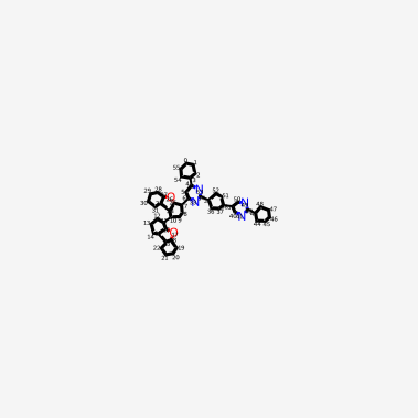 c1ccc(-c2cc(-c3ccc(-c4cccc5c4oc4ccccc45)c4c3oc3ccccc34)nc(-c3ccc(-c4cnc(-c5ccccc5)nc4)cc3)n2)cc1